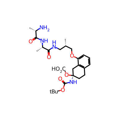 C[C@@H](CNC(=O)[C@H](C)NC(=O)[C@H](C)N)COc1cccc2c1C[C@](NC(=O)OC(C)(C)C)(OC(=O)O)CC2